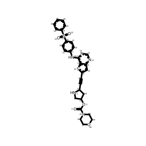 O=C(OC1CNC(C#Cc2cc3ncnc(Nc4ccc(S(=O)(=O)c5ccccc5)cc4)c3s2)C1)N1CCOCC1